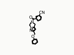 N#Cc1cccc(C(=O)N2CCn3nc(COc4ccccc4)cc3C2)c1